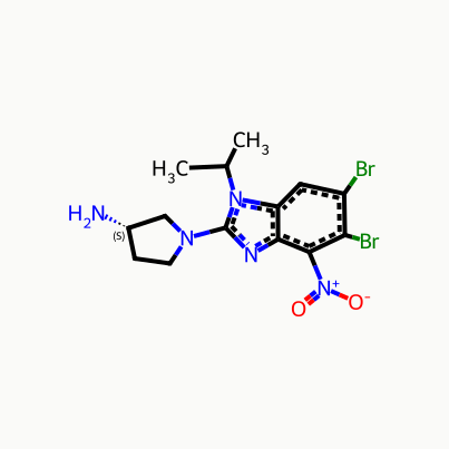 CC(C)n1c(N2CC[C@H](N)C2)nc2c([N+](=O)[O-])c(Br)c(Br)cc21